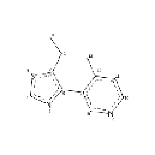 CCc1scnc1-c1cnccc1C